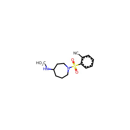 N#Cc1ccccc1S(=O)(=O)N1CCCC(NC(=O)O)CC1